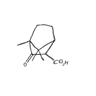 CC12CCC(C(C(=O)O)C1=O)C2(C)C